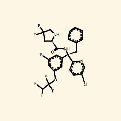 O=C(N[C@@](Cc1ccccc1)(c1cc(F)cc(OC(F)(F)C(F)F)c1)c1ccc(Cl)cn1)[C@H]1CC(F)(F)CN1